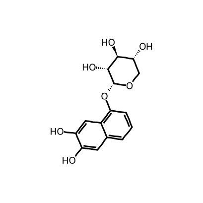 Oc1cc2cccc(O[C@H]3OC[C@@H](O)[C@H](O)[C@H]3O)c2cc1O